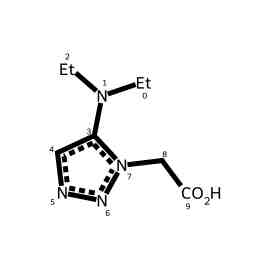 CCN(CC)c1cnnn1CC(=O)O